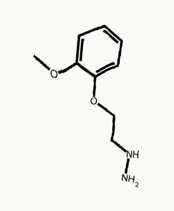 COc1ccccc1OCCNN